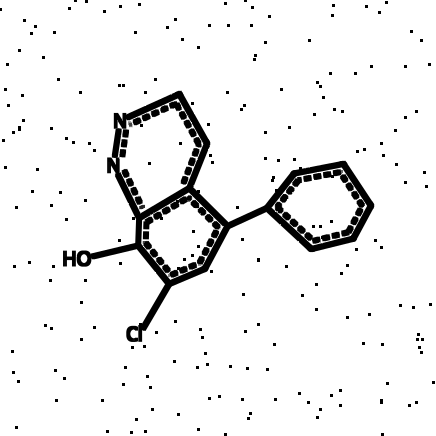 Oc1c(Cl)cc(-c2ccccc2)c2ccnnc12